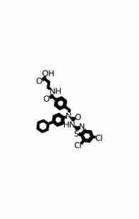 O=C(O)CCNC(=O)c1ccc(CN(C(=O)Nc2nc3cc(Cl)cc(Cl)c3s2)c2ccc(C3CCCCC3)cc2)cc1